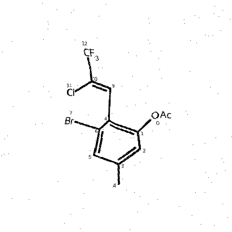 CC(=O)Oc1cc(C)cc(Br)c1/C=C(\Cl)C(F)(F)F